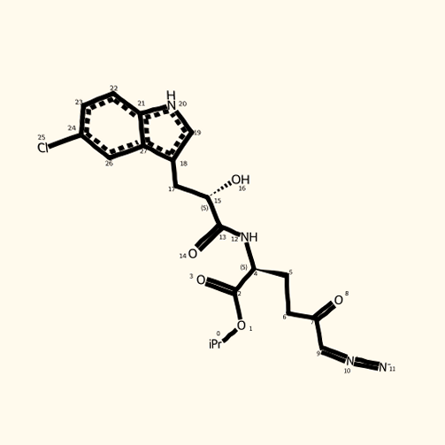 CC(C)OC(=O)[C@H](CCC(=O)C=[N+]=[N-])NC(=O)[C@@H](O)Cc1c[nH]c2ccc(Cl)cc12